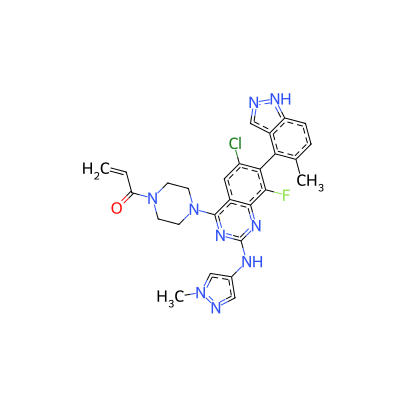 C=CC(=O)N1CCN(c2nc(Nc3cnn(C)c3)nc3c(F)c(-c4c(C)ccc5[nH]ncc45)c(Cl)cc23)CC1